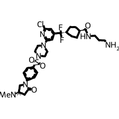 CN[C@@H]1CC(=O)N(c2ccc(S(=O)(=O)N3CCN(c4cc(C(F)(F)[C@H]5CC[C@H](C(=O)NCCCN)CC5)cc(Cl)n4)CC3)cc2)C1